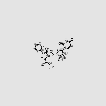 CC(C)OC(=O)[C@@H](C)N[P@@](=O)(OC[C@H]1O[C@@H](n2ccc(=O)[nH]c2=O)[C@](Cl)(Br)[C@@H]1O)Oc1ccccc1